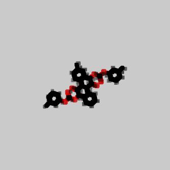 Cc1cccc(OC(=O)OC2=c3ccccc3=C3C(=O)C(OC(=O)Oc4cccc(C)c4)=c4cc(C)ccc4=C3C2=O)c1